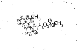 COC(=O)COCCCCN1C(=O)CCCC1C(=CC(C)=O)c1ccccc1